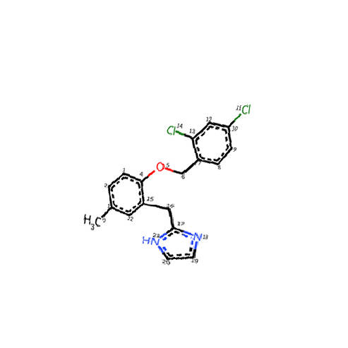 Cc1ccc(OCc2ccc(Cl)cc2Cl)c(Cc2ncc[nH]2)c1